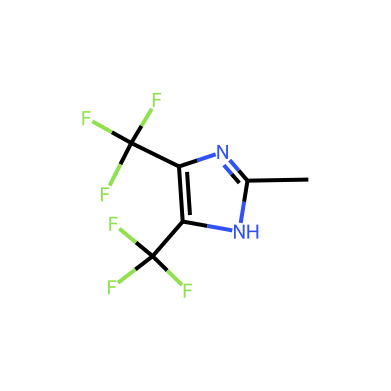 Cc1nc(C(F)(F)F)c(C(F)(F)F)[nH]1